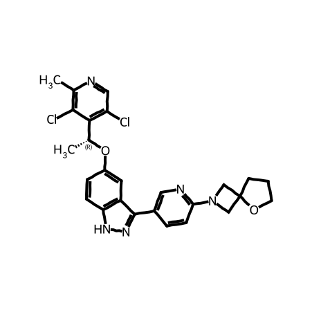 Cc1ncc(Cl)c([C@@H](C)Oc2ccc3[nH]nc(-c4ccc(N5CC6(CCCO6)C5)nc4)c3c2)c1Cl